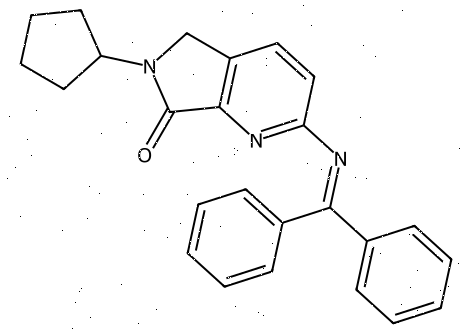 O=C1c2nc(N=C(c3ccccc3)c3ccccc3)ccc2CN1C1CCCC1